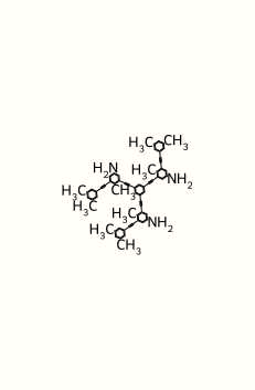 Cc1cc(C)cc(C#Cc2cc(N)cc(C#Cc3cc(C#Cc4cc(N)cc(C#Cc5cc(C)cc(C)c5)c4C)cc(C#Cc4cc(N)cc(C#Cc5cc(C)cc(C)c5)c4C)c3)c2C)c1